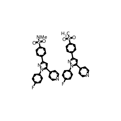 CNS(=O)(=O)c1ccc(-c2cc(-c3ccncc3)n(-c3ccc(F)cc3)n2)cc1.CS(=O)(=O)c1ccc(-c2cc(-c3ccncc3)n(-c3ccc(F)cc3)n2)cc1